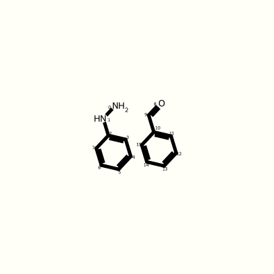 NNc1ccccc1.O=Cc1ccccc1